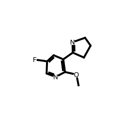 COc1ncc(F)cc1C1=NCCC1